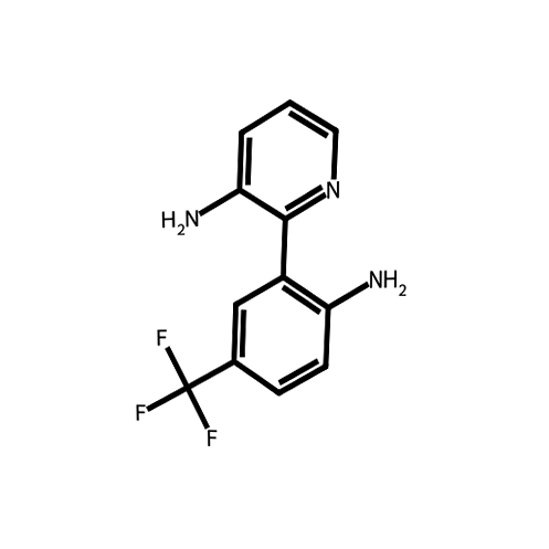 Nc1ccc(C(F)(F)F)cc1-c1ncccc1N